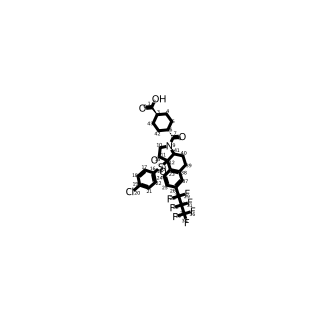 O=C(O)[C@H]1CC[C@H](C(=O)N2CCC3(S(=O)(=O)c4ccc(Cl)cc4)c4ccc(C(F)(F)C(F)(F)C(F)(F)F)cc4CCC23)CC1